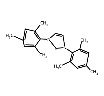 Cc1cc(C)c(N2[C]N(c3c(C)cc(C)cc3C)C=C2)c(C)c1